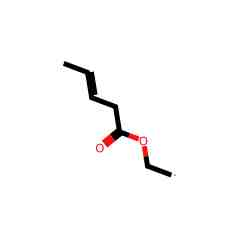 [CH2]COC(=O)CC=CC